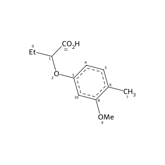 CCC(Oc1ccc(C)c(OC)c1)C(=O)O